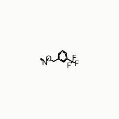 C=NOCc1cccc(C(F)(F)F)c1